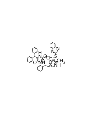 COC(=O)N[C@H](C(=O)Nc1ccccc1CC[C@@H]1CN[C@H](C)[C@@H](CSc2cnc3ccccc3n2)O1)C(c1ccccc1)c1ccccc1